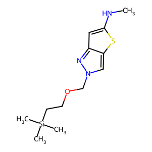 CNc1cc2nn(COCC[Si](C)(C)C)cc2s1